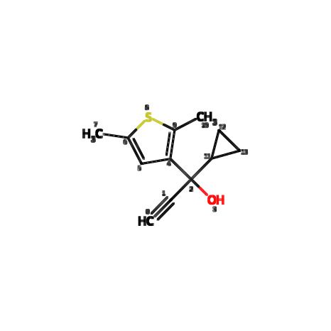 C#CC(O)(c1cc(C)sc1C)C1CC1